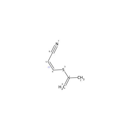 C=C(C)S/C=C\C#N